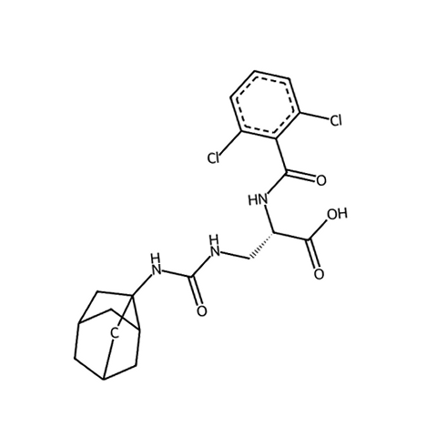 O=C(NC[C@H](NC(=O)c1c(Cl)cccc1Cl)C(=O)O)NC12CC3CC(CC1C3)C2